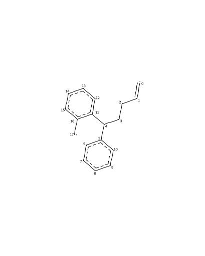 [CH]=CCCC(c1ccccc1)c1ccccc1[CH2]